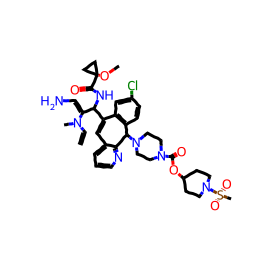 C=CN(C)/C(=C\N)C(NC(=O)C1(OC)CC1)C1=Cc2cccnc2C(N2CCN(C(=O)OC3CCN(S(C)(=O)=O)CC3)CC2)c2ccc(Cl)cc21